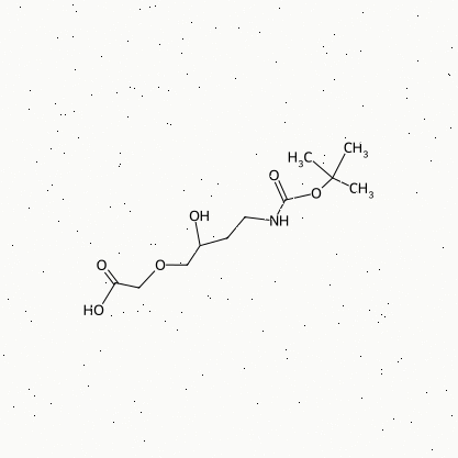 CC(C)(C)OC(=O)NCCC(O)COCC(=O)O